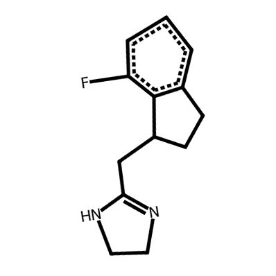 Fc1cccc2c1C(CC1=NCCN1)CC2